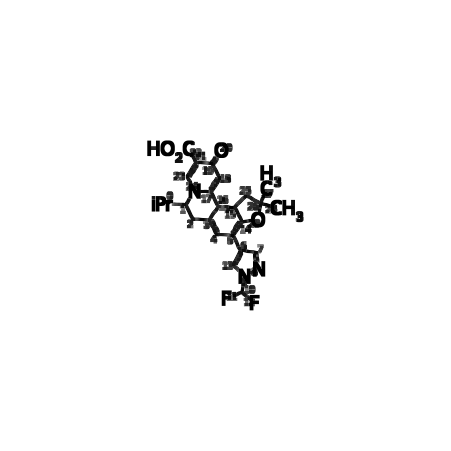 CC(C)C1Cc2cc(-c3cnn(C(F)F)c3)c3c(c2-c2cc(=O)c(C(=O)O)cn21)CC(C)(C)O3